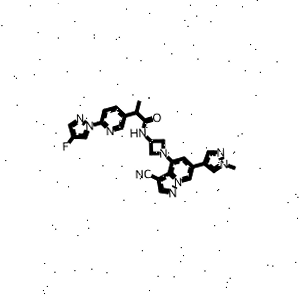 CC(C(=O)NC1CN(c2cc(-c3cnn(C)c3)cn3ncc(C#N)c23)C1)c1ccc(-n2cc(F)cn2)nc1